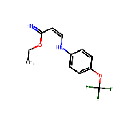 CCOC(=N)/C=C\Nc1ccc(OC(F)(F)F)cc1